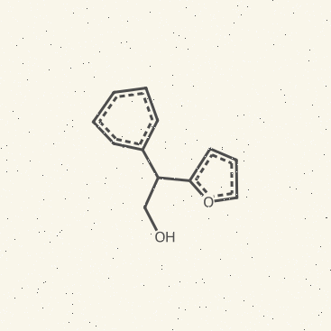 OCC(c1ccccc1)c1ccco1